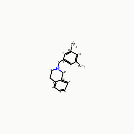 FC(F)(F)c1cc(CN2CCc3ccccc3C2)cc(C(F)(F)F)c1